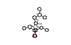 N#Cc1c(-n2c3ccc(-c4ccccc4)cc3c3cc(-c4ccccc4)ccc32)c(-n2c3ccc(-c4ccccc4)cc3c3cc(-c4ccccc4)ccc32)cc2c1oc1c(-c3nc(-c4ccccc4)cc(-c4ccccc4)n3)cccc12